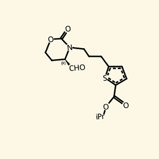 CC(C)OC(=O)c1ccc(CCCN2C(=O)OCC[C@@H]2C=O)s1